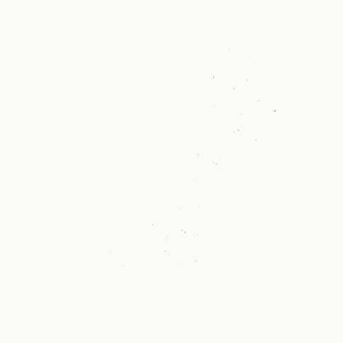 O=C(O)CCCCn1c(=O)c2cc(F)ccc2n(CCCCN2CCC(OC(c3ccccc3)c3ccccc3)CC2)c1=O